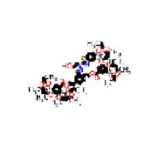 C=CC(=O)OC(C)(C)CC(C)(C)Oc1ccc(C(=O)OCCc2ccc(CCOC(=O)c3ccc(OC(C)(C)CC(C)(C)OC(=O)C=C)c(OC(C)(C)CC(C)(C)OC(=O)C=C)c3)c(/C=N/N(CCO)c3nc4ccccc4s3)c2)cc1OC(C)(C)CC(C)(C)OC(=O)C=C